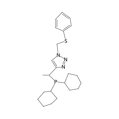 CC(c1cn(CSc2ccccc2)nn1)P(C1CCCCC1)C1CCCCC1